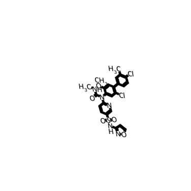 CNC(=O)N(c1ccc(S(=O)(=O)Nc2ccon2)cn1)c1cc(Cl)c(-c2ccc(Cl)c(C)c2)cc1OC